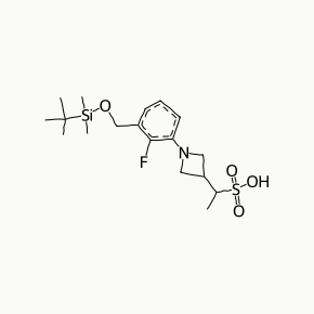 CC(C1CN(c2cccc(CO[Si](C)(C)C(C)(C)C)c2F)C1)S(=O)(=O)O